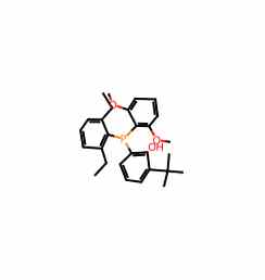 CCc1cccc(CC)c1P(c1cccc(C(C)(C)C)c1O)c1c(OC)cccc1OC